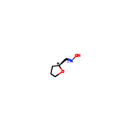 O/N=C/[C@@H]1CCCO1